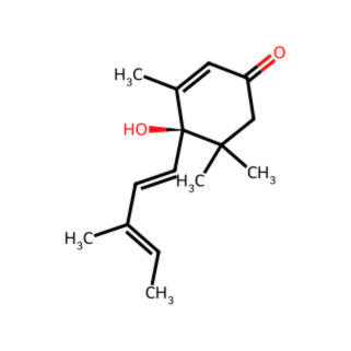 CC=C(C)C=C[C@]1(O)C(C)=CC(=O)CC1(C)C